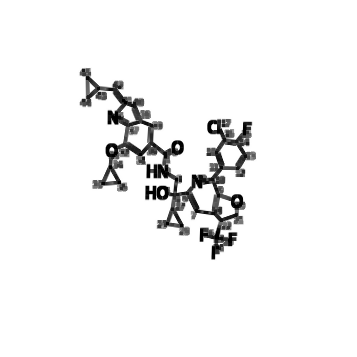 O=C(NCC(O)(c1cc2c(c(-c3ccc(F)c(Cl)c3)n1)OC[C@H]2C(F)(F)F)C1CC1)c1cc(OC2CC2)c2c(c1)=C/C(=C/C1CC1)N=2